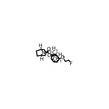 CC(C)(C)OC(=O)N1[C@@H]2CC[C@H]1C[C@@H](Oc1cccc(OCCF)c1)C2